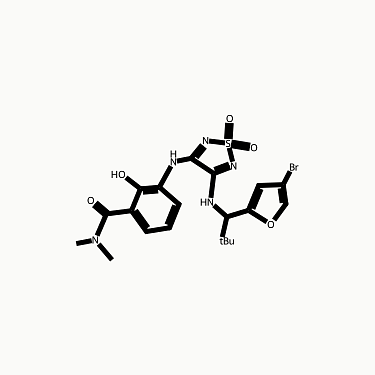 CN(C)C(=O)c1cccc(NC2=NS(=O)(=O)N=C2NC(c2cc(Br)co2)C(C)(C)C)c1O